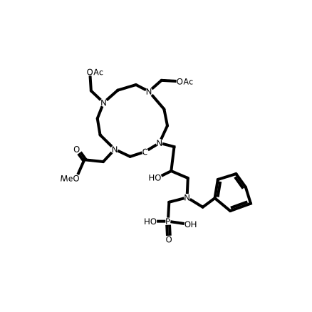 COC(=O)CN1CCN(COC(C)=O)CCN(COC(C)=O)CCN(CC(O)CN(Cc2ccccc2)CP(=O)(O)O)CC1